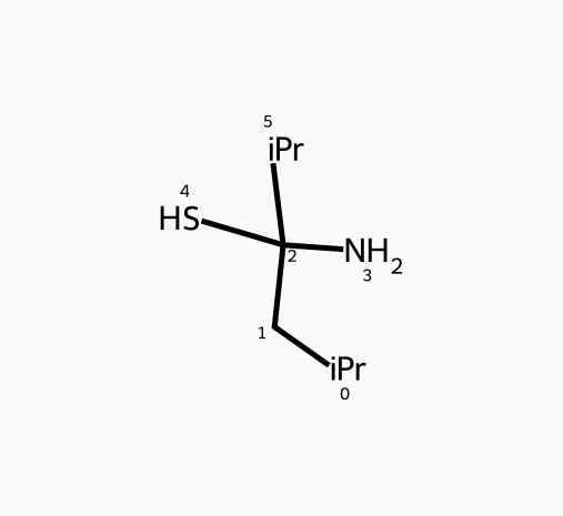 CC(C)CC(N)(S)C(C)C